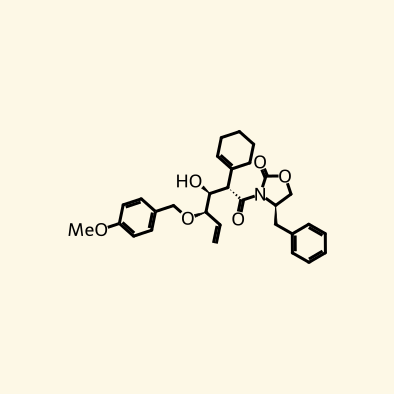 C=C[C@@H](OCc1ccc(OC)cc1)[C@@H](O)[C@@H](C(=O)N1C(=O)OC[C@H]1Cc1ccccc1)C1=CCCCC1